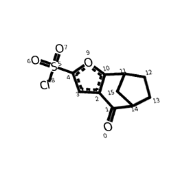 O=C1c2cc(S(=O)(=O)Cl)oc2C2CCC1C2